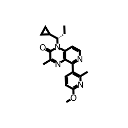 CC[C@@H](C1CC1)n1c(=O)c(C)nc2c(-c3ccc(OC)nc3C)nccc21